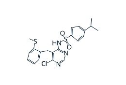 CSc1ccccc1Cc1c(Cl)ncnc1NS(=O)(=O)c1ccc(C(C)C)cc1